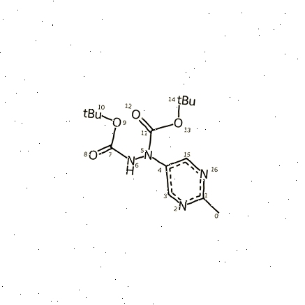 Cc1ncc(N(NC(=O)OC(C)(C)C)C(=O)OC(C)(C)C)cn1